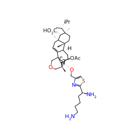 CC(=O)O[C@@H]1C[C@@]23COC[C@](C)([C@@H]2CC[C@H]2C3=CC[C@@]3(C)[C@H](C(=O)O)[C@@](C)([C@H](C)C(C)C)CC[C@]23C)[C@H]1OCc1csc([C@@H](N)CCCCN)n1